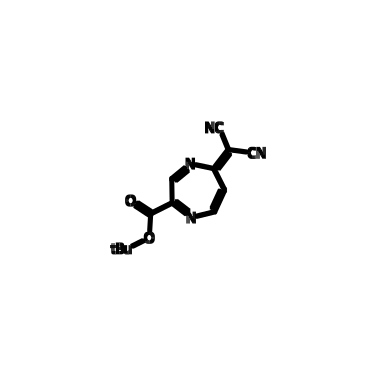 CC(C)(C)OC(=O)C1=NC=CC(=C(C#N)C#N)N=C1